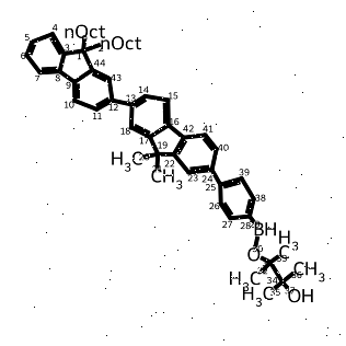 CCCCCCCCC1(CCCCCCCC)c2ccccc2-c2ccc(-c3ccc4c(c3)C(C)(C)c3cc(-c5ccc(BOC(C)(C)C(C)(C)O)cc5)ccc3-4)cc21